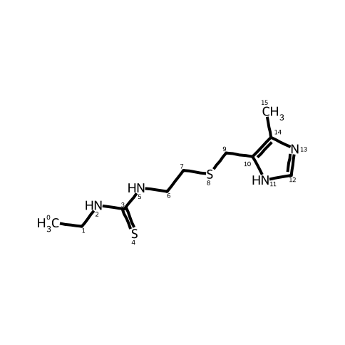 CCNC(=S)NCCSCc1[nH]cnc1C